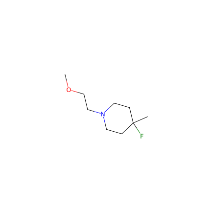 COCCN1CCC(C)(F)CC1